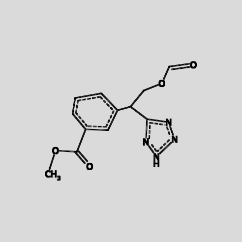 COC(=O)c1cccc(C(COC=O)c2nn[nH]n2)c1